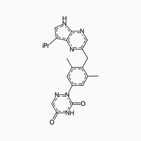 Cc1cc(-n2ncc(=O)[nH]c2=O)cc(C)c1Cc1cnc2[nH]cc(C(C)C)c2n1